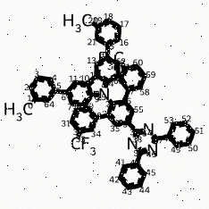 Cc1cccc(-c2ccc3c(c2)c2cc(-c4cccc(C)c4)ccc2n3-c2c(-c3cccc(C(F)(F)F)c3)cc(-c3nc(-c4ccccc4)nc(-c4ccccc4)n3)cc2-c2cccc(C(F)(F)F)c2)c1